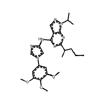 CCCC(C)c1nc(Nc2cn(-c3cc(OC)c(OC)c(OC)c3)cn2)c2cnn(C(C)C)c2n1